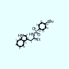 CCC(Cc1c[nH]c2ccccc12)NS(=O)(=O)c1ccc(C(C)(C)C)cc1